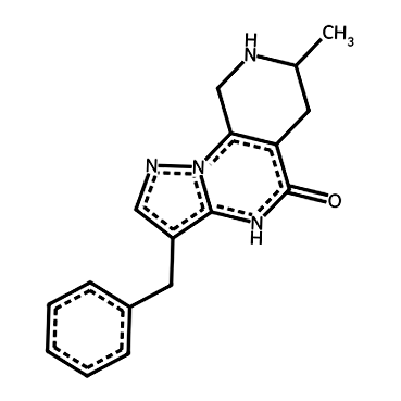 CC1Cc2c(n3ncc(Cc4ccccc4)c3[nH]c2=O)CN1